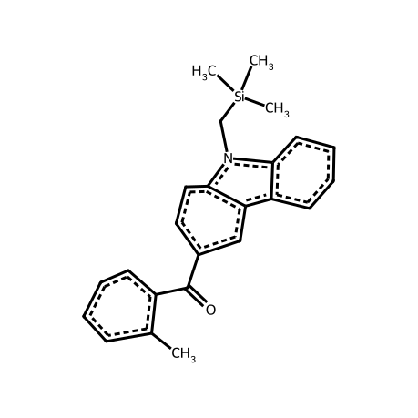 Cc1ccccc1C(=O)c1ccc2c(c1)c1ccccc1n2C[Si](C)(C)C